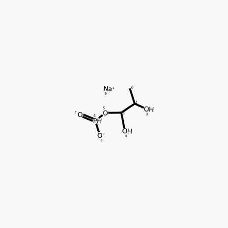 CC(O)C(O)O[PH](=O)[O-].[Na+]